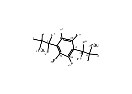 CCCCC(C)(C)C(F)(F)c1c(F)c(F)c(C(F)(F)C(C)(C)CCCC)c(F)c1F